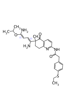 CCSc1ccc(CC(=O)Nc2ccc3c(n2)CCC(C)(/C(N)=C/C=C(\N)OC(C)C)C3=O)cc1